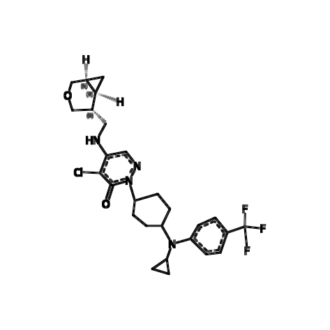 O=c1c(Cl)c(NC[C@@H]2COC[C@H]3C[C@@H]23)cnn1C1CCC(N(c2ccc(C(F)(F)F)cc2)C2CC2)CC1